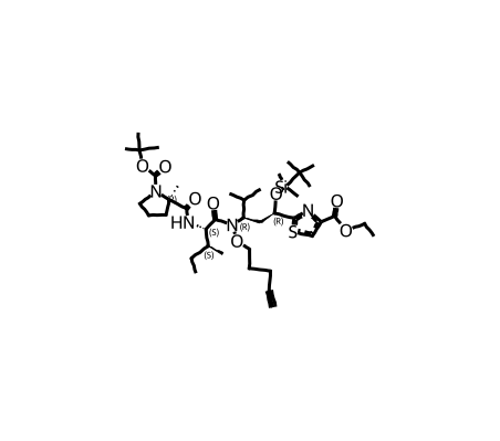 C#CCCCON(C(=O)[C@@H](NC(=O)[C@@]1(C)CCCN1C(=O)OC(C)(C)C)[C@@H](C)CC)[C@H](C[C@@H](O[Si](C)(C)C(C)(C)C)c1nc(C(=O)OCC)cs1)C(C)C